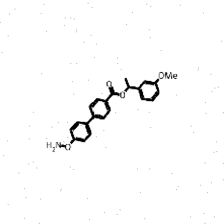 COc1cccc(C(C)OC(=O)c2ccc(-c3ccc(ON)cc3)cc2)c1